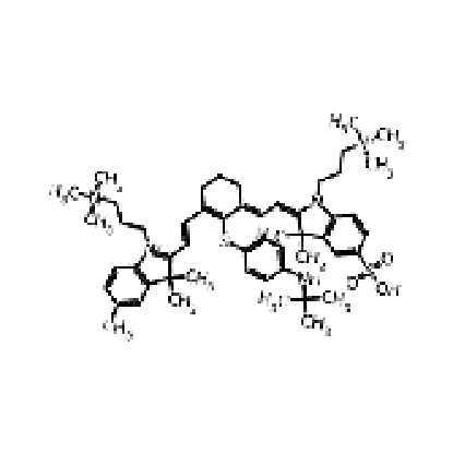 Cc1ccc2c(c1)C(C)(C)C(/C=C/C1=C(Sc3ccc(NC(C)(C)C)cc3)C(=C/C=C3/N(CCC[N+](C)(C)C)c4ccc(S(=O)(=O)O)cc4C3(C)C)/CCC1)=[N+]2CCC[N+](C)(C)C